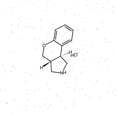 Cl.c1ccc2c(c1)OC[C@H]1CNC[C@H]21